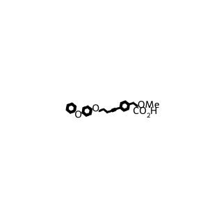 COC(Cc1ccc(C#CCCCOc2ccc(Oc3ccccc3)cc2)cc1)C(=O)O